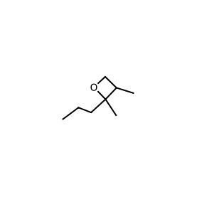 CCCC1(C)OCC1C